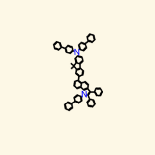 CC1(C)c2cc(-c3cccc4c3ccc3c(-c5ccccc5)c(-c5ccccc5)n(-c5ccc(-c6ccccc6)cc5)c34)ccc2-c2ccc(N(c3ccc(-c4ccccc4)cc3)c3ccc(-c4ccccc4)cc3)cc21